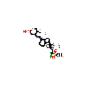 C=C1CCC(O)C/C1=C/C=C1\CCCC2(C)C1CCC2C(C)/C=C/C(F)(F)S(C)(=O)=O